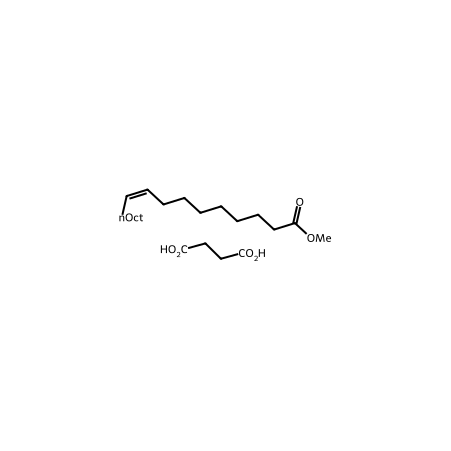 CCCCCCCC/C=C\CCCCCCCC(=O)OC.O=C(O)CCC(=O)O